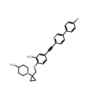 Cc1cc(C#Cc2ccc(-c3ccc(Cl)cc3)cn2)ccc1OCC1(N2CCC(C)CC2)CC1